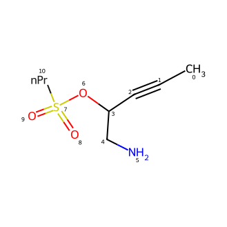 CC#CC(CN)OS(=O)(=O)CCC